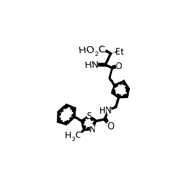 CC[C@H](C(=N)C(=O)Cc1cccc(CNC(=O)c2nc(C)c(-c3ccccc3)s2)c1)C(=O)O